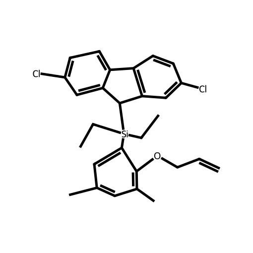 C=CCOc1c(C)cc(C)cc1[Si](CC)(CC)C1c2cc(Cl)ccc2-c2ccc(Cl)cc21